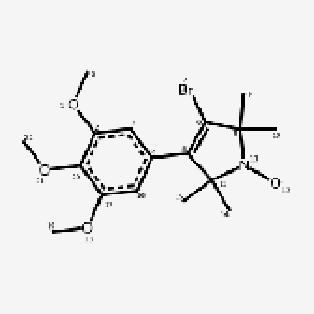 COc1cc(C2=C(Br)C(C)(C)N([O])C2(C)C)cc(OC)c1OC